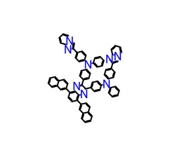 c1ccc(N(c2ccc(-c3cn4ccccc4n3)cc2)c2ccc(-c3nc4c(-c5ccc6ccccc6c5)ccc(-c5ccc6ccccc6c5)c4nc3-c3ccc(N(c4ccccc4)c4ccc(-c5cn6ccccc6n5)cc4)cc3)cc2)cc1